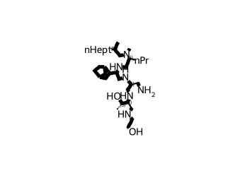 CCCCCCC[C@@H](C)CN(C)[C@@H](CCC)CNC(CN[C@@H](CN)CN[C@@H](CNCCO)[C@H](C)O)C1CC2CCC1C2